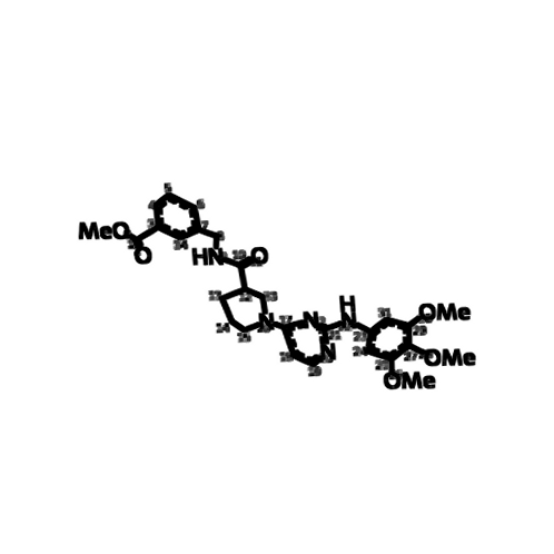 COC(=O)c1cccc(CNC(=O)C2CCCN(c3ccnc(Nc4cc(OC)c(OC)c(OC)c4)n3)C2)c1